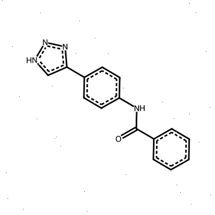 O=C(Nc1ccc(-c2c[nH]nn2)cc1)c1ccccc1